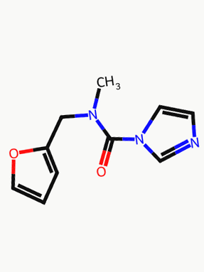 CN(Cc1ccco1)C(=O)n1ccnc1